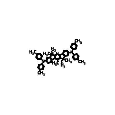 Cc1ccc(N(c2ccc(C)cc2)c2ccc3c(c2)C(C)(C)c2nc4c(c(C)c2-3)C(C)(C)c2cc(N(c3ccc(C)cc3)c3ccc(C)cc3)ccc2-4)cc1